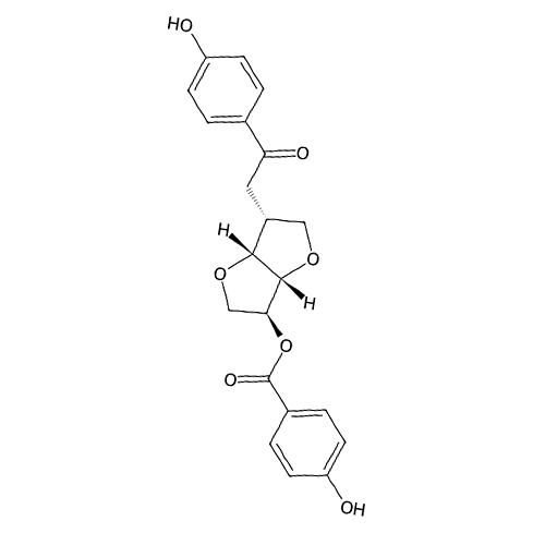 O=C(C[C@@H]1CO[C@H]2[C@@H]1OC[C@@H]2OC(=O)c1ccc(O)cc1)c1ccc(O)cc1